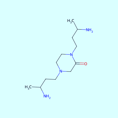 CC(N)CCN1CCN(CCC(C)N)C(=O)C1